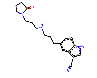 N#Cc1c[nH]c2ccc(CCCNCCCN3CCCC3=O)cc12